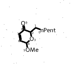 CCCCCCC1OC(OC)C=CC1=O